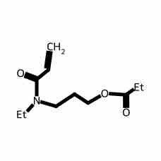 C=CC(=O)N(CC)CCCOC(=O)CC